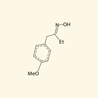 CC/C(Cc1ccc(OC)cc1)=N\O